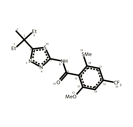 CCC(C)(CC)c1nnc(NC(=O)c2c(OC)cc(C(F)(F)F)cc2SC)s1